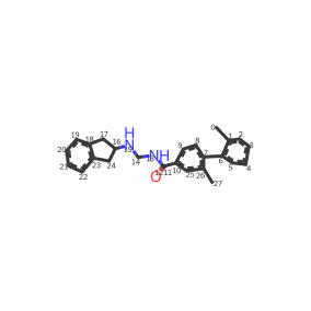 Cc1ccccc1-c1ccc(C(=O)NCNC2Cc3ccccc3C2)cc1C